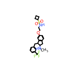 CNC1Cc2ccc(OCCNS(=O)(=O)C3CCC3)cc2C1Cc1cccc(C(F)(F)F)c1